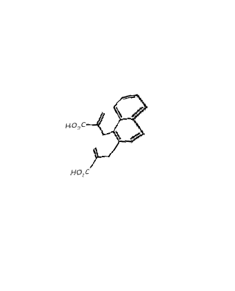 C=C(Cc1ccc2ccccc2c1CC(=C)C(=O)O)C(=O)O